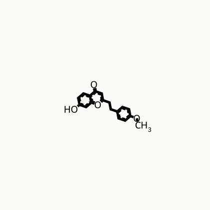 COc1ccc(CCc2cc(=O)c3ccc(O)cc3o2)cc1